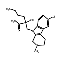 CCCCC(O)(Cn1c2c(c3cc(Cl)ccc31)CCN(C)C2)C(N)=O